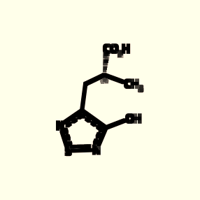 C[C@H](Cc1nsnc1O)C(=O)O